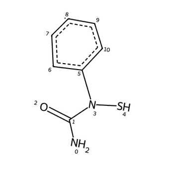 NC(=O)N(S)c1cc[c]cc1